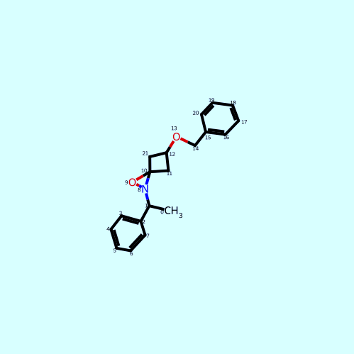 CC(c1ccccc1)N1OC12CC(OCc1ccccc1)C2